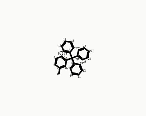 Cc1ccc(O)c(C(c2ccccc2)(c2ccccc2)c2ccccc2)c1